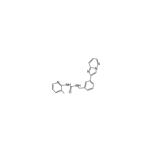 Cc1cccnc1NC(=O)NCc1cccc(-c2cn3ncccc3n2)c1